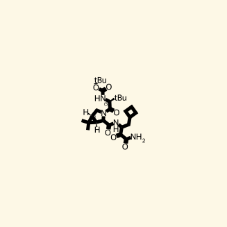 CC(C)(C)OC(=O)N[C@H](C(=O)N1C[C@H]2[C@@H](C1C(=O)NC(CC1CCC1)C(=O)C(N)=O)C2(C)C)C(C)(C)C